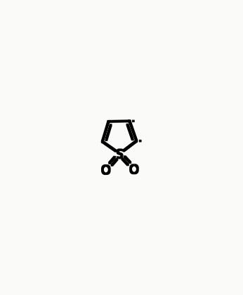 O=S1(=O)[C]=[C]C=C1